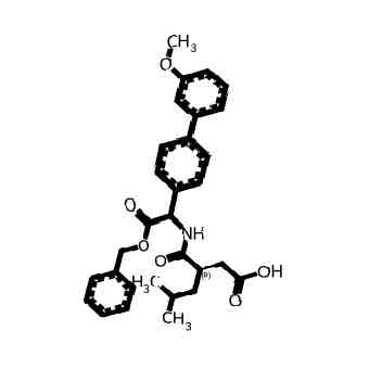 COc1cccc(-c2ccc(C(NC(=O)[C@@H](CC(=O)O)CC(C)C)C(=O)OCc3ccccc3)cc2)c1